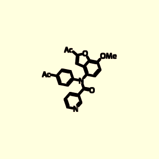 COc1ccc(N(C(=O)c2cccnc2)c2ccc(C(C)=O)cc2)c2cc(C(C)=O)oc12